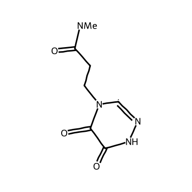 CNC(=O)CCn1[c]n[nH]c(=O)c1=O